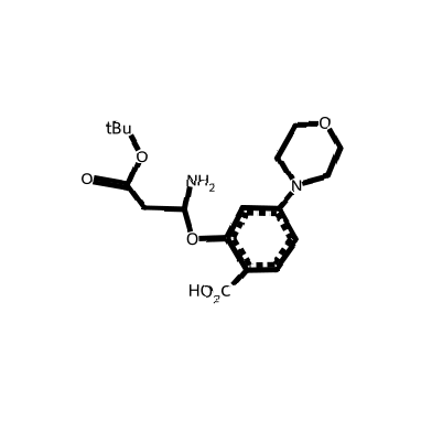 CC(C)(C)OC(=O)CC(N)Oc1cc(N2CCOCC2)ccc1C(=O)O